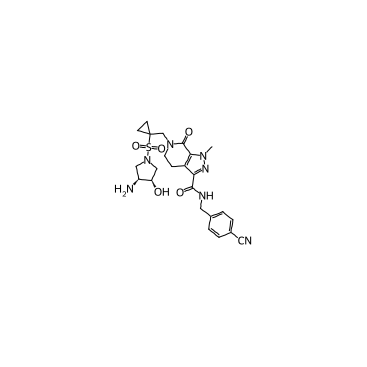 Cn1nc(C(=O)NCc2ccc(C#N)cc2)c2c1C(=O)N(CC1(S(=O)(=O)N3C[C@@H](O)[C@@H](N)C3)CC1)CC2